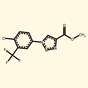 COC(=O)c1cn(-c2ccc(Cl)c(C(F)(F)F)c2)nn1